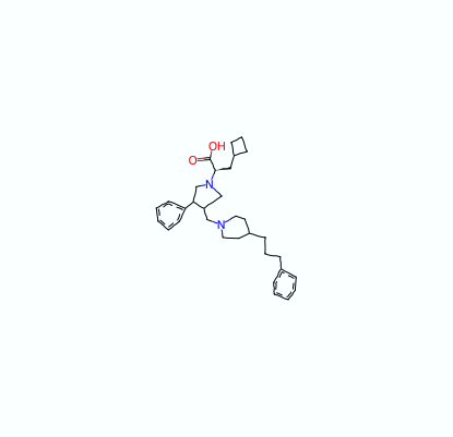 O=C(O)[C@@H](CC1CCC1)N1CC(CN2CCC(CCCc3ccccc3)CC2)C(c2ccccc2)C1